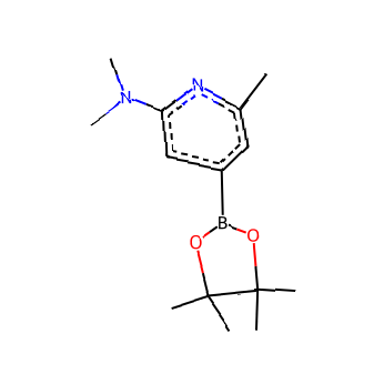 Cc1cc(B2OC(C)(C)C(C)(C)O2)cc(N(C)C)n1